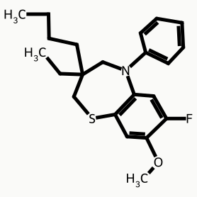 CCCCC1(CC)CSc2cc(OC)c(F)cc2N(c2ccccc2)C1